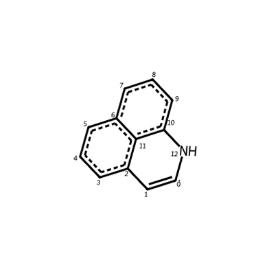 [C]1=Cc2cccc3cccc(c23)N1